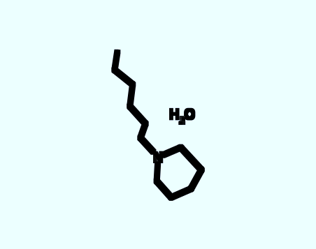 CCCCCCN1CCCCC1.O